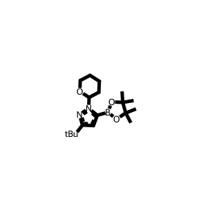 CC(C)(C)c1cc(B2OC(C)(C)C(C)(C)O2)n(C2CCCCO2)n1